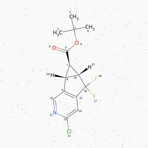 CC(C)(C)OC(=O)[C@@H]1[C@H]2c3cnc(Cl)cc3C(F)(F)[C@@H]12